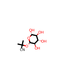 CC(C)(C#N)O[C@@H]1O[C@H](O)[C@@H](O)[C@H](O)[C@H]1O